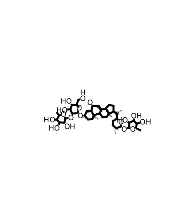 CC1OC(OC2C(O[C@H]3CC[C@@]4(C)C(C3)C(=O)C=C3C4CC[C@@]4(C)C3CCC4[C@H](C)C3CC[C@@H](C)C(OC4OC(C)C(O)C(O)C4O)O3)OC(CO)C(O)C2O)C(O)C(O)C1O